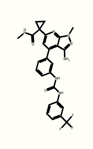 CNC(=O)C1(c2cc(-c3cccc(NC(=O)Nc4cccc(C(F)(F)F)c4)c3)c3c(N)nn(C)c3n2)CC1